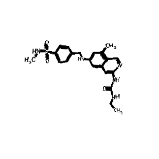 CCNC(=O)Nc1cc2cc(NCc3ccc(S(=O)(=O)NC)cc3)cc(C)c2cn1